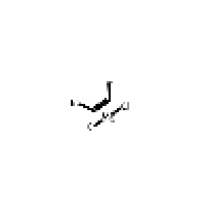 [CH2]/C=C\CC.[Cl][Mg][Cl]